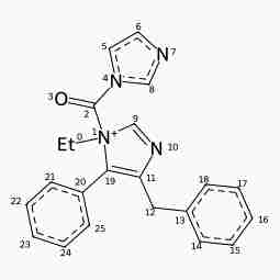 CC[N+]1(C(=O)n2ccnc2)C=NC(Cc2ccccc2)=C1c1ccccc1